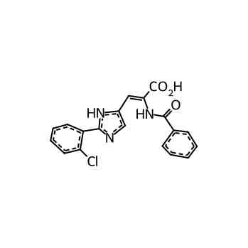 O=C(O)/C(=C/c1cnc(-c2ccccc2Cl)[nH]1)NC(=O)c1ccccc1